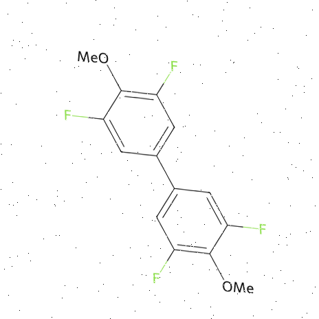 COc1c(F)cc(-c2cc(F)c(OC)c(F)c2)cc1F